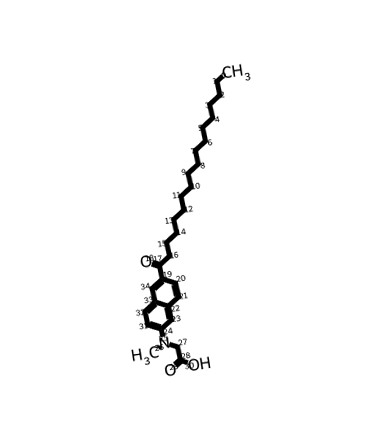 CCCCCCCCCCCCCCCCCC(=O)c1ccc2cc(N(C)CC(=O)O)ccc2c1